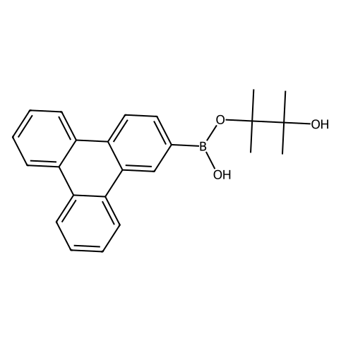 CC(C)(O)C(C)(C)OB(O)c1ccc2c3ccccc3c3ccccc3c2c1